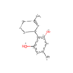 CCCc1cc(O)c(C2C=C(C)CCC2)c(O)c1